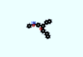 c1ccc(-c2nnc(-c3ccc(-c4cc(-c5ccc6ccccc6c5)cc5c4oc4ccc(-c6ccc7ccccc7c6)cc45)cc3)o2)cc1